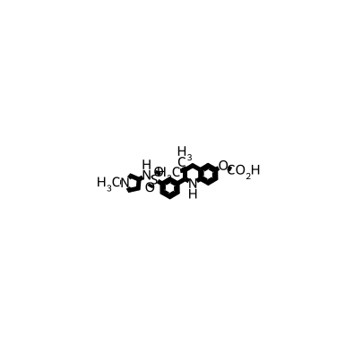 CN1CCC(NS(=O)(=O)c2cccc(C3Nc4ccc(OC(=O)O)cc4CC3(C)C)c2)C1